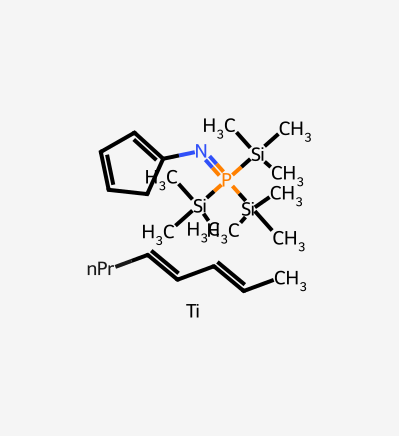 CC=CC=CCCC.C[Si](C)(C)P(=NC1=CC=CC1)([Si](C)(C)C)[Si](C)(C)C.[Ti]